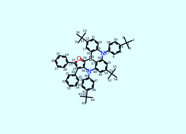 CC(C)(C)c1ccc(N2c3ccc(C(C)(C)C)cc3B3c4oc(-c5ccccc5)c(-c5ccccc5)c4N(c4ccc(C(C)(C)C)cc4)c4cc(C(C)(C)C)cc2c43)cc1